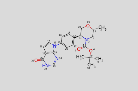 C[C@@H]1CN(C(=O)OC(C)(C)C)[C@@H](c2ccc(-n3ccc4c(=O)[nH]cnc43)cc2)CO1